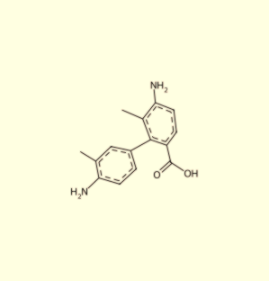 Cc1cc(-c2c(C(=O)O)ccc(N)c2C)ccc1N